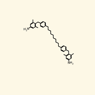 Cc1cc(N)cc(C)c1Cc1ccc(CCCCCCCCCCc2ccc(Cc3c(C)cc(N)cc3C)cc2)cc1